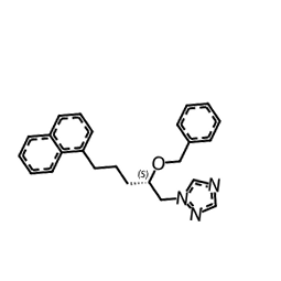 c1ccc(CO[C@@H](CCCc2cccc3ccccc23)Cn2cncn2)cc1